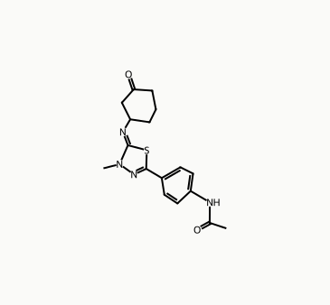 CC(=O)Nc1ccc(-c2nn(C)c(=NC3CCCC(=O)C3)s2)cc1